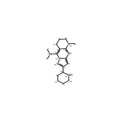 CN(C)c1c2c(nc3cc(C4CCCCN4)nn13)N(C)CCC2